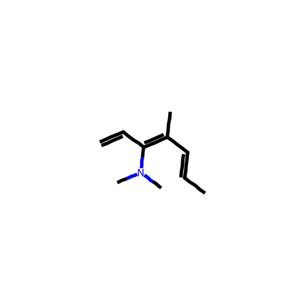 C=C/C(=C(C)/C=C/C)N(C)C